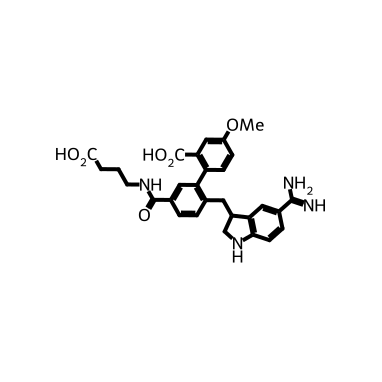 COc1ccc(-c2cc(C(=O)NCCCC(=O)O)ccc2CC2CNc3ccc(C(=N)N)cc32)c(C(=O)O)c1